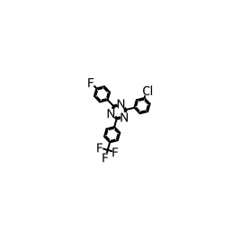 Fc1ccc(-c2nc(-c3ccc(C(F)(F)F)cc3)nc(-c3cccc(Cl)c3)n2)cc1